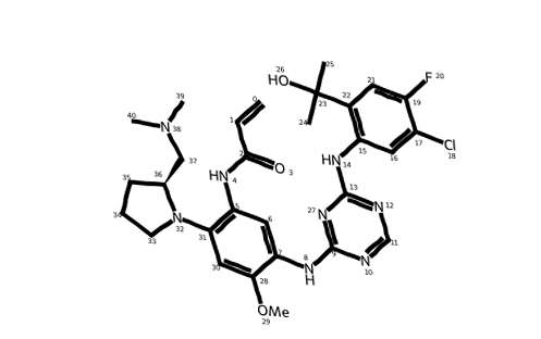 C=CC(=O)Nc1cc(Nc2ncnc(Nc3cc(Cl)c(F)cc3C(C)(C)O)n2)c(OC)cc1N1CCC[C@H]1CN(C)C